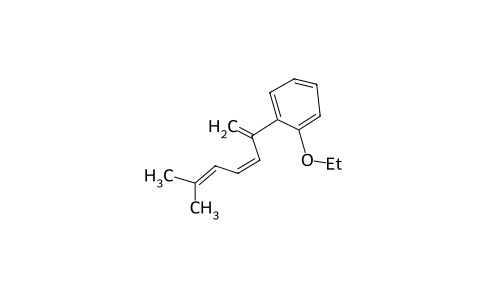 C=C(/C=C\C=C(C)C)c1ccccc1OCC